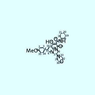 COc1ccc(-c2cnc3c(c2)c(O)c(C(=O)NC2CCCCC2)c(=O)n3CCN2CCOCC2)cc1